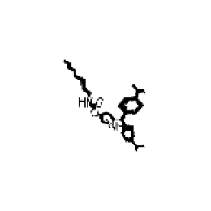 CCCCCCCCNC(=O)O[C@H]1CN[C@@H](C(c2ccc(C(C)C)cc2)c2ccc(C(C)C)cc2)C1